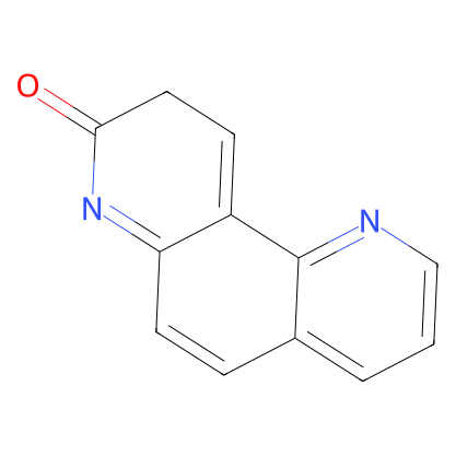 O=C1CC=c2c(ccc3cccnc23)=N1